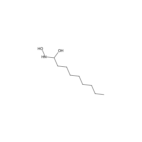 CCCCCCCCC(O)NO